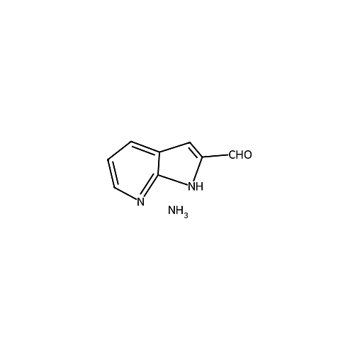 N.O=Cc1cc2cccnc2[nH]1